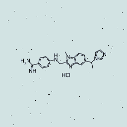 CC(c1ccc2c(c1)nc(CNc1ccc(C(=N)N)cc1)n2C)n1ccnc1.Cl